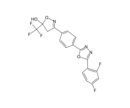 OC1(C(F)(F)F)CC(c2ccc(-c3nnc(-c4ccc(F)cc4F)o3)cc2)=NO1